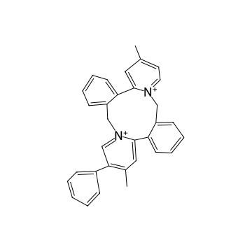 Cc1cc[n+]2c(c1)-c1ccccc1C[n+]1cc(-c3ccccc3)c(C)cc1-c1ccccc1C2